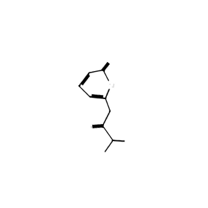 CC(C)C(=O)Cc1cccc(=O)[nH]1